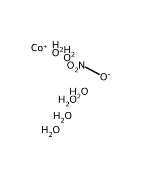 O.O.O.O.O.O.O=[N+]([O-])[O-].[Co+]